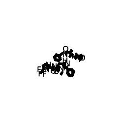 C=C(C(=O)NCc1cccc([C@@H]2c3cnn(-c4ccccc4)c3N(CC)C(=O)[C@H]2NC(=O)c2nccc(C(F)(F)F)n2)c1)C(C)N1CC2(COC2)C1